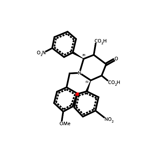 COc1ccc(CN2[C@H](c3cccc([N+](=O)[O-])c3)C(C(=O)O)C(=O)C(C(=O)O)[C@@H]2c2cccc([N+](=O)[O-])c2)cc1